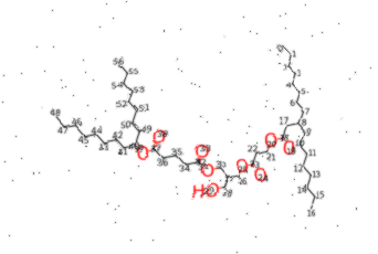 CCCCCCCCC(CCCCCCCC)CC(=O)OCCC(=O)OCC(CO)COC(=O)CCCC(=O)OC(CCCCCCCC)CCCCCCCC